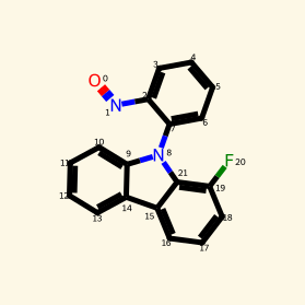 O=Nc1ccccc1-n1c2ccccc2c2cccc(F)c21